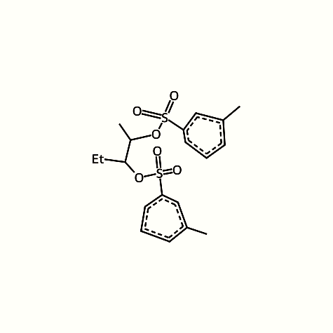 CCC(OS(=O)(=O)c1cccc(C)c1)C(C)OS(=O)(=O)c1cccc(C)c1